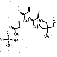 C=CC(=O)O.C=CC(=O)O.C=CC(=O)O.O=P(O)(O)O.OCC(CO)(CO)CO